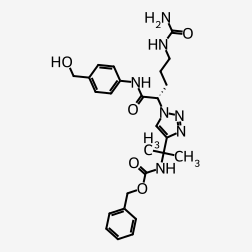 CC(C)(NC(=O)OCc1ccccc1)c1cn([C@@H](CCCNC(N)=O)C(=O)Nc2ccc(CO)cc2)nn1